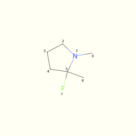 CN1CCCC1(C)F